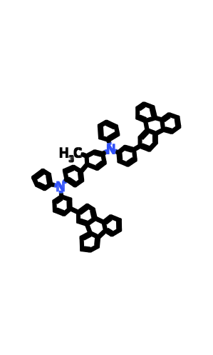 CC1C=C(N(c2ccccc2)c2cccc(-c3ccc4c5ccccc5c5ccccc5c4c3)c2)C=CC1c1ccc(N(c2ccccc2)c2cccc(-c3ccc4c5ccccc5c5ccccc5c4c3)c2)cc1